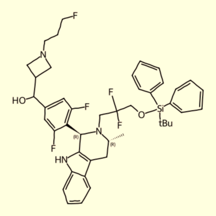 C[C@@H]1Cc2c([nH]c3ccccc23)[C@@H](c2c(F)cc(C(O)C3CN(CCCF)C3)cc2F)N1CC(F)(F)CO[Si](c1ccccc1)(c1ccccc1)C(C)(C)C